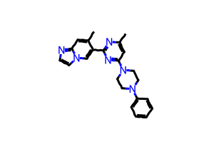 Cc1cc(N2CCN(c3ccccc3)CC2)nc(-c2cn3ccnc3cc2C)n1